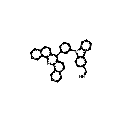 N=Cc1ccc2c(c1)c1ccccc1n2-c1cccc(-c2c3ccc4ccccc4c3nc3c2ccc2ccccc23)c1